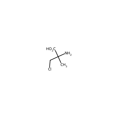 CC(N)(CCl)C(=O)O